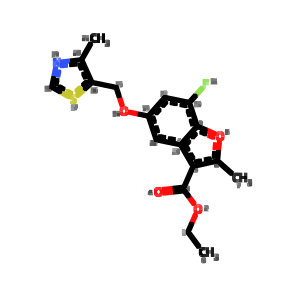 CCOC(=O)c1c(C)oc2c(F)cc(OCc3scnc3C)cc12